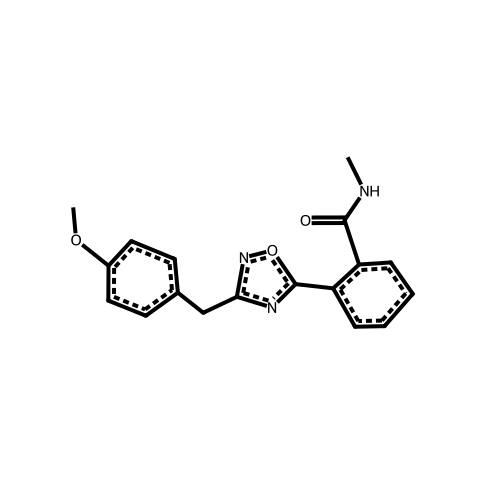 CNC(=O)c1ccccc1-c1nc(Cc2ccc(OC)cc2)no1